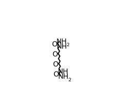 NC(=O)NCCC(=O)CCCC(=O)CCNC(N)=O